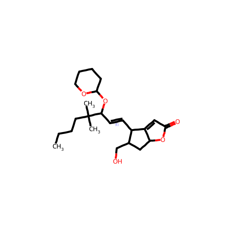 CCCCC(C)(C)C(/C=C/C1C2=CC(=O)OC2CC1CO)OC1CCCCO1